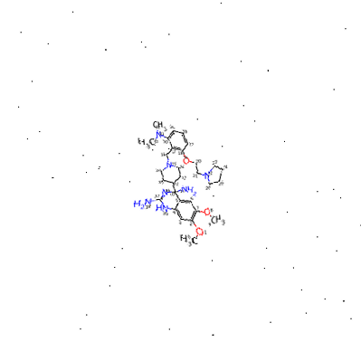 COc1cc2c(cc1OC)C(N)(C1CCN(Cc3c(OCCN4CCCC4)cccc3N(C)C)CC1)N=C(N)N2